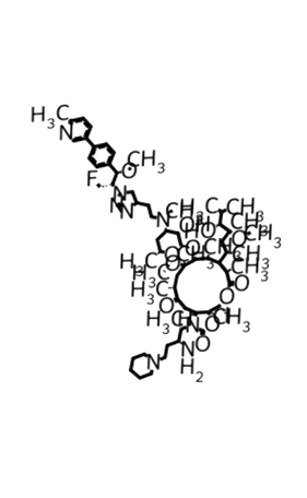 CO[C@H](c1ccc(-c2ccc(C)nc2)cc1)[C@@H](CF)N1CC(CCN(C)[C@H]2C[C@@H](C)O[C@@H](O[C@@H]3[C@@H](C)C([C@H](C)C[C@@](C)(OC)[C@@H](O)C(C)C)[C@@H](C)C(=O)O[C@H](I)[C@@]4(C)OC(=O)N(C[C@H](N)CCN5CCCCC5)[C@@H]4[C@@H](C)C(=O)[C@H](C)C[C@@]3(C)OC)[C@@H]2O)N=N1